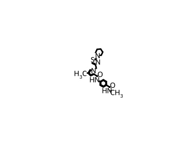 CNC(=O)c1ccc(NC(=O)c2cc(C)cn2Cc2csc(N3CCCCC3)n2)cc1